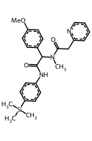 COc1ccc(C(C(=O)Nc2ccc([Si](C)(C)C)cc2)N(C)C(=O)Cc2ccccn2)cc1